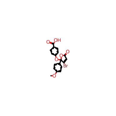 COc1ccc(C2(Oc3ccc(C(=O)O)cc3)OC(=O)C=C2Br)cc1